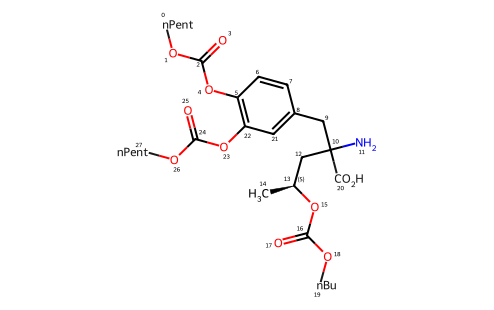 CCCCCOC(=O)Oc1ccc(CC(N)(C[C@H](C)OC(=O)OCCCC)C(=O)O)cc1OC(=O)OCCCCC